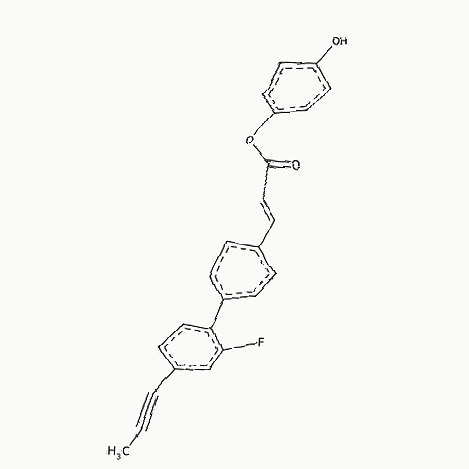 CC#Cc1ccc(-c2ccc(/C=C/C(=O)Oc3ccc(O)cc3)cc2)c(F)c1